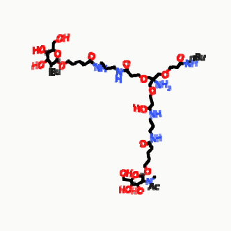 CCCCNC(=O)CCOCC(N)(COCCC(=O)NCCCNC(=O)CCCCO[C@@H]1OC(CO)[C@H](O)C(O)C1C(C)CC)COCCC(O)NCCCNC(=O)CCCCO[C@@H]1OC(CO)[C@H](O)C(O)C1N(C)C(C)=O